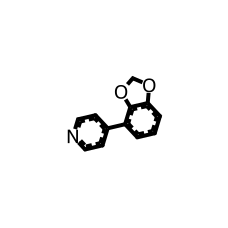 c1cc2c(c(-c3ccncc3)c1)OCO2